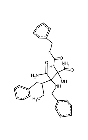 CCC(Cc1ccccc1)C(NCc1ccccc1)(C(N)=O)C(O)(NC(=O)NCc1ccccc1)C(N)=O